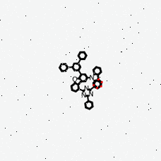 c1ccc(-c2cc(-c3ccccc3)cc(-c3cc(-n4c5ccccc5c5ccccc54)cc4c3oc3cccc(-c5nc(-c6ccccc6)nc(-c6ccccc6)n5)c34)c2)cc1